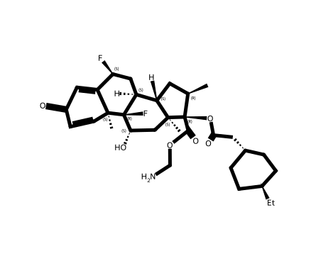 CC[C@H]1CC[C@H](CC(=O)O[C@]2(C(=O)OCN)[C@H](C)C[C@H]3[C@@H]4C[C@H](F)C5=CC(=O)C=C[C@]5(C)[C@@]4(F)[C@@H](O)C[C@@]32C)CC1